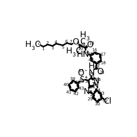 CCCCCCCCOC(C)(C)C(=O)Nc1cccc(C(=O)NC2=Nn3c(nc4ccc(Cl)cc43)C2[S+]([O-])c2ccccc2)c1